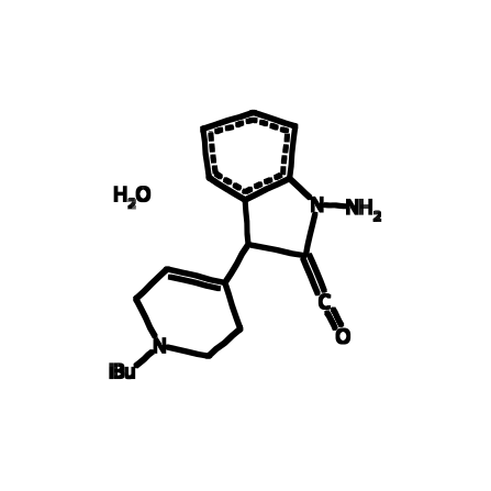 CCC(C)N1CC=C(C2C(=C=O)N(N)c3ccccc32)CC1.O